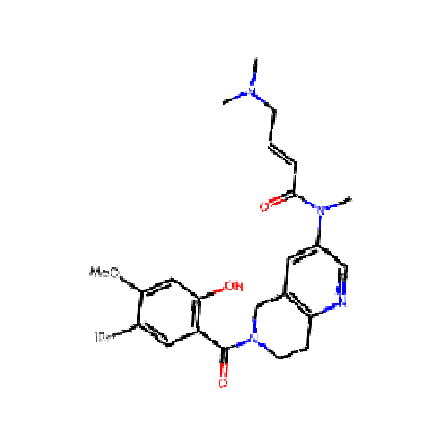 COc1cc(O)c(C(=O)N2CCc3ncc(N(C)C(=O)/C=C/CN(C)C)cc3C2)cc1C(C)C